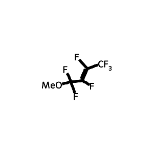 COC(F)(F)C(F)=C(F)C(F)(F)F